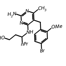 CCCC(CCO)Nc1nc(N)nc(C)c1Cc1ccc(Br)cc1OC